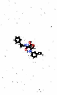 Cc1cccc(NC2=C(C(=O)N[C@@H]3C[C@H]3c3ccccc3)C(=O)OC2)c1